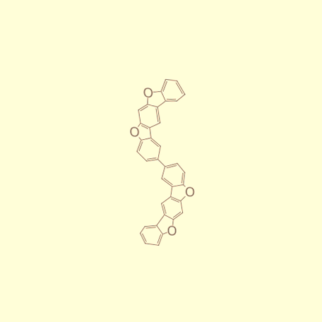 c1ccc2c(c1)oc1cc3oc4ccc(-c5ccc6oc7cc8oc9ccccc9c8cc7c6c5)cc4c3cc12